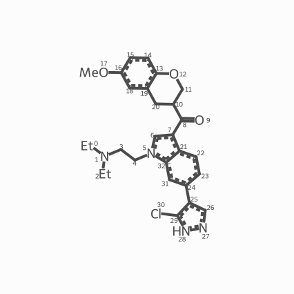 CCN(CC)CCn1cc(C(=O)C2COc3ccc(OC)cc3C2)c2ccc(-c3cn[nH]c3Cl)cc21